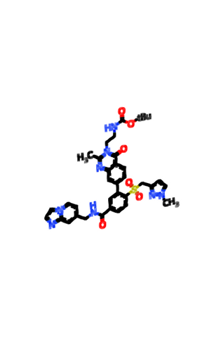 Cc1nc2cc(-c3cc(C(=O)NCc4ccn5ccnc5c4)ccc3S(=O)(=O)Cc3ccn(C)n3)ccc2c(=O)n1CCNC(=O)OC(C)(C)C